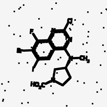 CN(c1nc(Cl)nc2c(F)c(Br)c(I)cc12)[C@H]1CCN(C(=O)O)C1